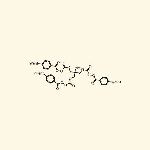 CCCCCc1ccc(C(=O)OOC(=O)OCC(CCC)(COC(=O)OOC(=O)c2ccc(CCCCC)cc2)COC(=O)OOC(=O)c2ccc(CCCCC)cc2)cc1